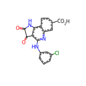 O=C1Nc2c(c(Nc3cccc(Cl)c3)nc3cc(C(=O)O)ccc23)C1=O